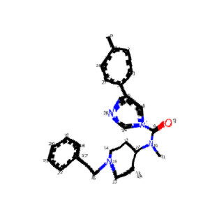 Cc1ccc(-c2cn(C(=O)N(C)C3CCN(Cc4ccccc4)CC3)cn2)cc1